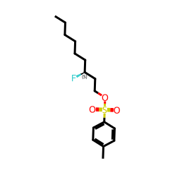 CCCCCC[C@H](F)CCOS(=O)(=O)c1ccc(C)cc1